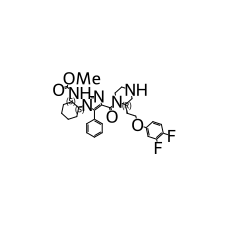 COC(=O)N[C@H]1CCCC[C@@H]1n1cnc(C(=O)N2CCNC[C@H]2CCOc2ccc(F)c(F)c2)c1-c1ccccc1